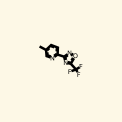 Cc1ccc(-c2noc(C(F)(F)F)n2)nc1